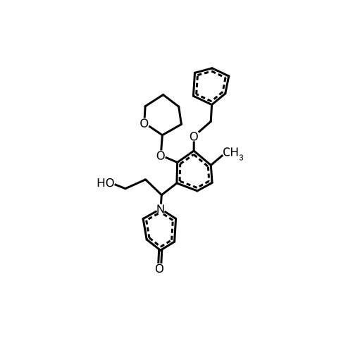 Cc1ccc(C(CCO)n2ccc(=O)cc2)c(OC2CCCCO2)c1OCc1ccccc1